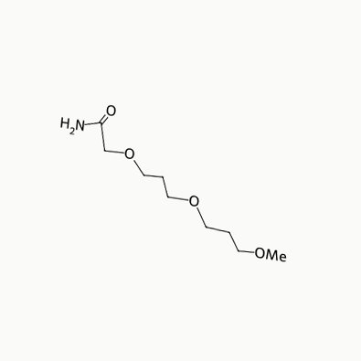 COCCCOCCCOCC(N)=O